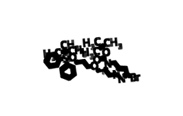 CC(C)(C)OC(=O)N1Cc2cc(Br)nn2C[C@H]1COCCCO[Si](c1ccccc1)(c1ccccc1)C(C)(C)C